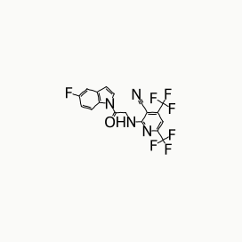 N#Cc1c(C(F)(F)F)cc(C(F)(F)F)nc1NCC(=O)n1ccc2cc(F)ccc21